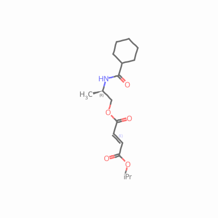 CC(C)OC(=O)/C=C/C(=O)OC[C@@H](C)NC(=O)C1CCCCC1